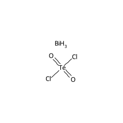 O=[Te](=O)(Cl)Cl.[BiH3]